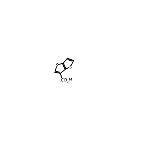 O=C(O)c1csc2ccsc12